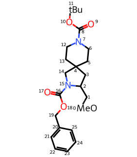 COCC1CC2(CCN(C(=O)OC(C)(C)C)CC2)CN1C(=O)OCc1ccccc1